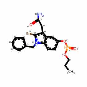 CCCO[PH](=O)Oc1ccc2c(c1)c(CC(N)=O)c(Br)n2Cc1ccccc1